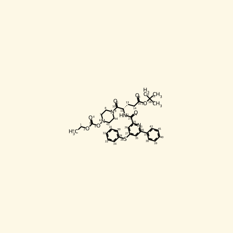 CCOC(=O)ON1CCN(C(=O)[C@H](CCC(=O)OC(C)(C)C)NC(=O)c2cc(Sc3ccccc3)cc(-c3ccccc3)n2)CC1